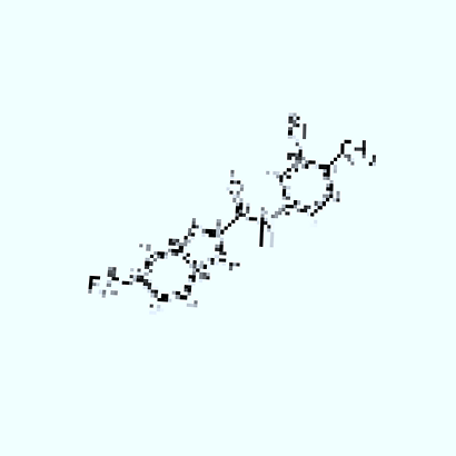 Cc1ccc(NC(=O)c2cc3cc(C(F)(F)F)ccc3s2)cc1Cl